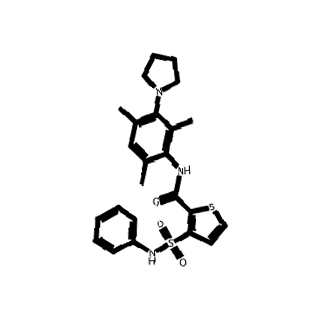 Cc1cc(C)c(N2CCCC2)c(C)c1NC(=O)c1sccc1S(=O)(=O)Nc1ccccc1